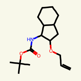 C=CCOC1CC2CCCCC2C1NC(=O)OC(C)(C)C